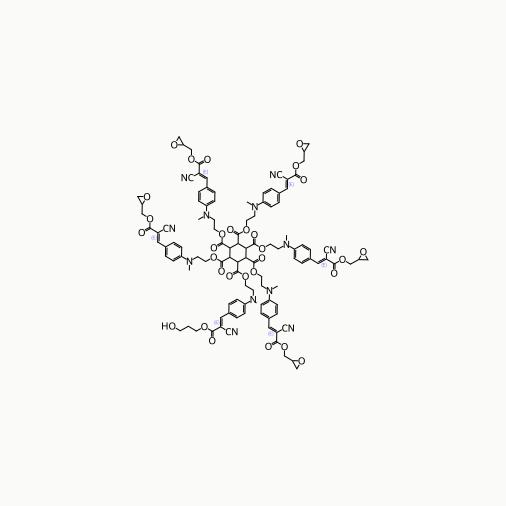 CN(CCOC(=O)C1C(C(=O)OCCN(C)c2ccc(/C=C(\C#N)C(=O)OCC3CO3)cc2)C(C(=O)OCCN(C)c2ccc(/C=C(\C#N)C(=O)OCC3CO3)cc2)C(C(=O)OCCN(C)c2ccc(/C=C(\C#N)C(=O)OCC3CO3)cc2)C(C(=O)OCCN(C)c2ccc(/C=C(\C#N)C(=O)OCC3CO3)cc2)C1C(=O)OCCN(C)c1ccc(/C=C(\C#N)C(=O)OCC2CO2)cc1)c1ccc(/C=C(\C#N)C(=O)OCCCO)cc1